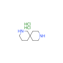 C1CNCC2(C1)CCNCC2.Cl.Cl